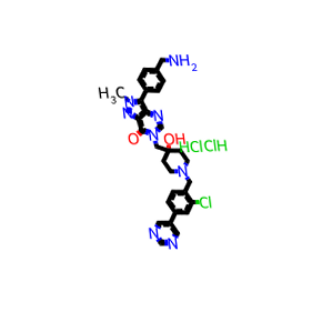 Cl.Cl.Cn1nc2c(=O)n(CC3(O)CCN(Cc4ccc(-c5cncnc5)cc4Cl)CC3)cnc2c1-c1ccc(CN)cc1